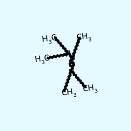 CCCCCCCCCCCCN(CCCCCCCCCCCC)CCC1CCN(CCN(CCCCCCCCCCCC)CCN(CCCCCCCCCCCC)CCCCCCCCCCCC)CC1